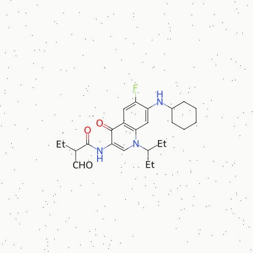 CCC(C=O)C(=O)Nc1cn(C(CC)CC)c2cc(NC3CCCCC3)c(F)cc2c1=O